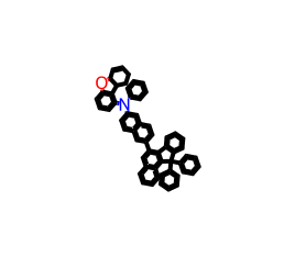 C1=CC2Oc3cccc(N(c4ccccc4)c4ccc5cc(-c6cc7ccccc7c7c6-c6ccccc6C7(c6ccccc6)c6ccccc6)ccc5c4)c3C2CC1